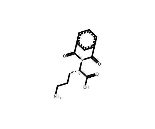 NCCC[C@@H](C(=O)O)N1C(=O)c2cccc(c2)C1=O